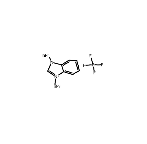 CCCn1c[n+](CCC)c2ccccc21.F[B-](F)(F)F